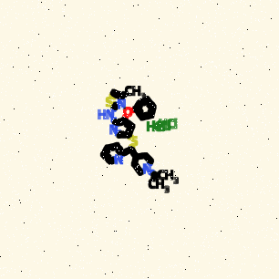 Cc1csc(Nc2ncc(SC(c3ccccn3)C3CCN(C(C)C)CC3)cc2Oc2ccccc2)n1.Cl.Cl.Cl